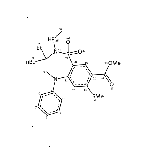 CCCCC1(CC)CN(c2ccccc2)c2cc(SC)c(C(=O)OC)cc2S(=O)(=O)N1PC